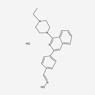 CCN1CCN(c2nc(-c3ccc(/C=N/O)cc3)cc3ccccc23)CC1.Cl